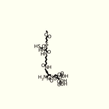 CCOC(=O)CCCSSCC(NC(=O)CS)C(=O)NCCCCCC(=O)NCC#Cc1cn(C2CC(OP(=O)(O)O)C(COP(=O)(O)O)O2)c(=O)nc1N